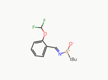 CC(C)(C)[S+]([O-])N=Cc1ccccc1OC(F)F